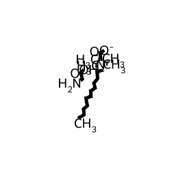 CCCCCCCCCCCCC[N+](C)(C)C(C)(C)C(=O)[O-].NCC(=O)O